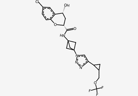 O=C(NC12CC(n3cc(C4CC4COC(F)(F)F)nn3)(C1)C2)[C@H]1C[C@@H](O)c2cc(Cl)ccc2O1